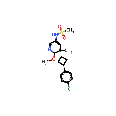 COC1N=CC(NS(C)(=O)=O)=CC1(C)[C@H]1C[C@H](c2ccc(Cl)cc2)C1